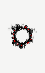 CCCC[C@H]1C(=O)N(C)[C@@H](CCCC)C(=O)N[C@@H](CCCNC(=N)N)C(=O)N[C@@H](C(=O)NCC(N)=O)CSCC(=O)N[C@@H](Cc2ccccc2)C(=O)N(C)[C@@H](C)C(=O)N[C@@H](CC(N)=O)C(=O)N2CCC[C@H]2C(=O)N[C@@H](Cc2cnc[nH]2)C(=O)N[C@@H](CC(C)C)C(=O)N(C)CC(=O)N[C@@H](Cc2c[nH]c3ccccc23)C(=O)N[C@@H](CO)C(=O)N[C@@H](Cc2cccc3ccccc23)C(=O)N1C